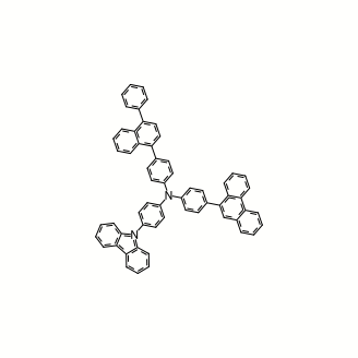 c1ccc(-c2ccc(-c3ccc(N(c4ccc(-c5cc6ccccc6c6ccccc56)cc4)c4ccc(-n5c6ccccc6c6ccccc65)cc4)cc3)c3ccccc23)cc1